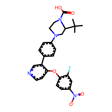 CC(C)(C)C1CN(c2ccc(-c3cnccc3Oc3ccc([N+](=O)[O-])cc3F)cc2)CCN1C(=O)O